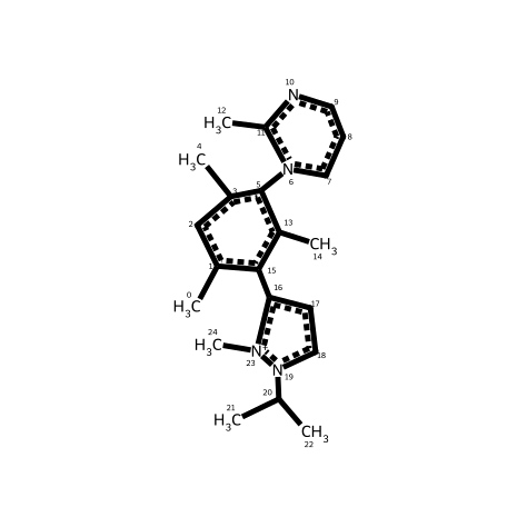 Cc1cc(C)c(-[n+]2cccnc2C)c(C)c1-c1ccn(C(C)C)[n+]1C